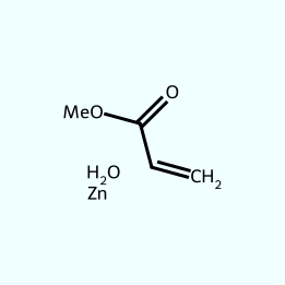 C=CC(=O)OC.O.[Zn]